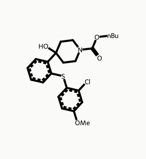 CCCCOC(=O)N1CCC(O)(c2ccccc2Sc2ccc(OC)cc2Cl)CC1